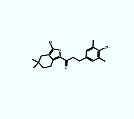 CCc1sc(C(=O)CCc2cc(C)c(O)c(C)c2)c2c1CC(C)(C)CC2